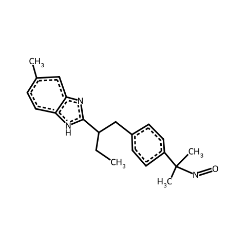 CCC(Cc1ccc(C(C)(C)N=O)cc1)c1nc2cc(C)ccc2[nH]1